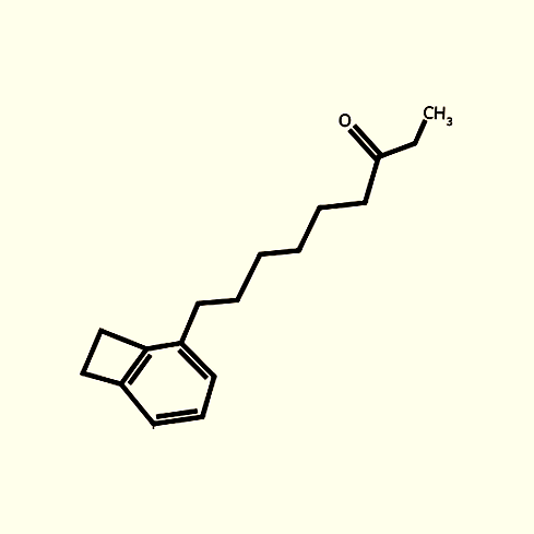 CCC(=O)CCCCCCc1cc[c]c2c1CC2